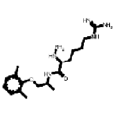 BN[C@@H](CCCCNC(=N)N)C(=O)NC(C)COc1c(C)cccc1C